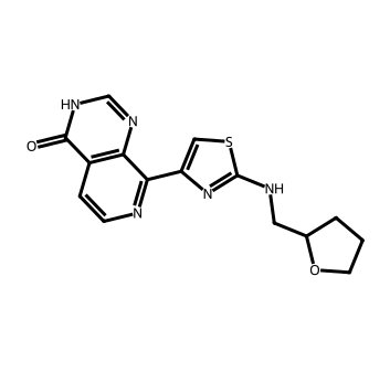 O=c1[nH]cnc2c(-c3csc(NCC4CCCO4)n3)nccc12